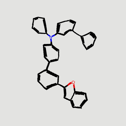 c1ccc(-c2cccc(N(c3ccccc3)c3ccc(-c4cccc(-c5cc6ccccc6o5)c4)cc3)c2)cc1